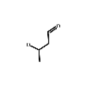 CC([O])CC=O